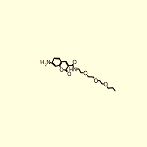 CCCOCCOCCOCCNC(=O)c1cc2ccc(N)cc2oc1=O